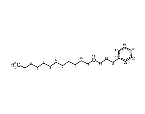 [CH2]CCCCCCCCCCCOCCCc1ccccc1